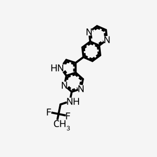 CC(F)(F)CNc1ncc2c(-c3ccc4nccnc4c3)c[nH]c2n1